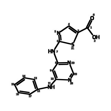 O=C(O)c1cnc(Nc2cc(Nc3ccccc3)ncn2)s1